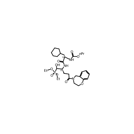 CCCOC(=O)N[C@@H](CC1CCCCC1)C(=O)N[C@@H](CCC(=O)N1CCOc2ccccc2C1)C(O)P(=O)(OCC)OCC